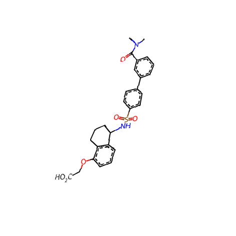 CN(C)C(=O)c1cccc(-c2ccc(S(=O)(=O)NC3CCCc4c(OCC(=O)O)cccc43)cc2)c1